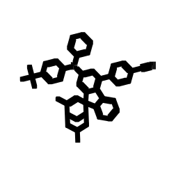 CC1=CC2(c3ccccc3-c3c(-c4ccc(C#N)cc4)cc(N(c4ccccc4)c4ccc(C(C)(C)C)cc4)cc32)C2CC(C)CC1C2